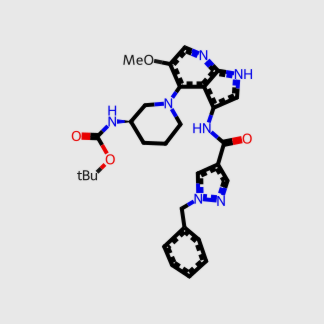 COc1cnc2[nH]cc(NC(=O)c3cnn(Cc4ccccc4)c3)c2c1N1CCC[C@@H](NC(=O)OC(C)(C)C)C1